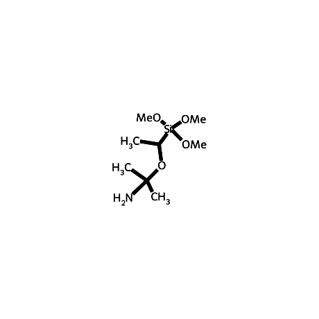 CO[Si](OC)(OC)C(C)OC(C)(C)N